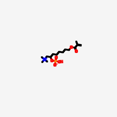 C=C(C)C(=O)OCCCCCCC(C[N+](C)(C)C)OP(=O)([O-])O